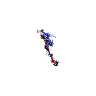 CCC(=O)NCCNC(=O)/N=C(/N)NCCC[C@@H](NC(=O)[C@H](c1ccccc1)N1Cc2cccc(NC(=O)CCCNC(=O)CCCCCNC(=O)OCC3c4ccccc4-c4ccccc43)c2C1)C(=O)NCc1c(F)cc(O)cc1F